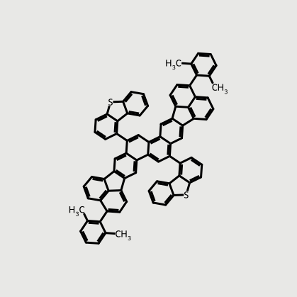 Cc1cccc(C)c1-c1ccc2c3c(cccc13)-c1cc3c(-c4cccc5sc6ccccc6c45)cc4c5cc6c(cc5c(-c5cccc7sc8ccccc8c57)cc4c3cc1-2)-c1cccc2c(-c3c(C)cccc3C)ccc-6c12